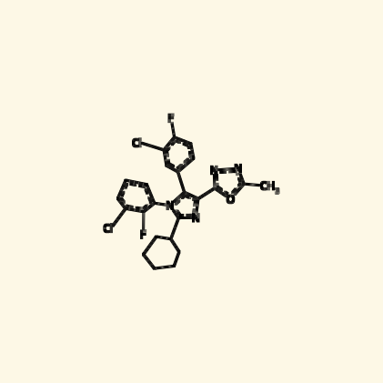 Cc1nnc(-c2nc(C3CCCCC3)n(-c3cccc(Cl)c3F)c2-c2ccc(F)c(Cl)c2)o1